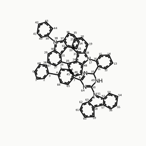 c1ccc(-c2ccc(C3=NC(c4ccccc4-n4c5ccccc5c5c(-c6cccc7c6c6ccccc6n7-c6ccccc6)cccc54)NC(n4c5ccccc5c5ccccc54)=N3)cc2)cc1